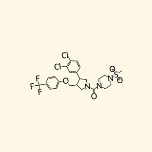 CS(=O)(=O)N1CCN(C(=O)N2CC(COc3ccc(C(F)(F)F)cc3)C(c3ccc(Cl)c(Cl)c3)C2)CC1